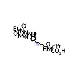 CC[C@@H]1C(=O)N(C)c2cnc(Nc3ccc(/C=C/CCCC(=O)N[C@@H](CC(C)C)C(=O)O)cc3F)nc2N1C1CCCC1